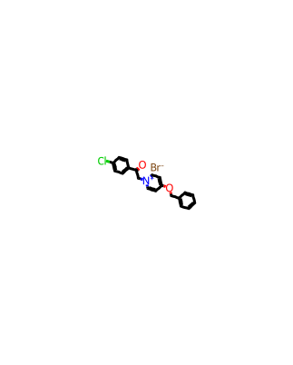 O=C(C[n+]1ccc(OCc2ccccc2)cc1)c1ccc(Cl)cc1.[Br-]